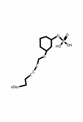 CCCCCCCCCCCCCCCCSC1CCCC(OP(=O)(O)O)C1